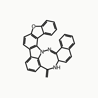 C=C1NC2C=Cc3ccccc3/C2=N/n2c3c1cccc3c1ccc3oc4ccccc4c3c12